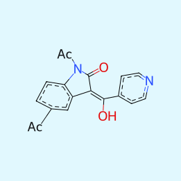 CC(=O)c1ccc2c(c1)C(=C(O)c1ccncc1)C(=O)N2C(C)=O